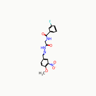 COc1ccc(/C=N/NC(=O)CNC(=O)c2cccc(F)c2)cc1[N+](=O)[O-]